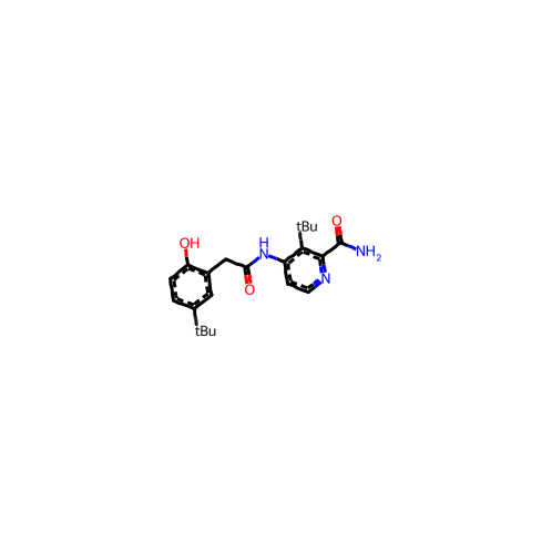 CC(C)(C)c1ccc(O)c(CC(=O)Nc2ccnc(C(N)=O)c2C(C)(C)C)c1